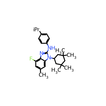 Cc1cc(F)c2nc(Nc3ccc(C(C)C)cc3)n(C3CC(C)(C)CC(C)(C)C3)c2c1